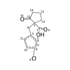 O=C(O)C1(Cc2ccc(Cl)cc2)CCCC1=O